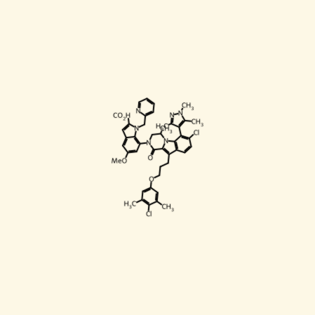 COc1cc(N2CC(C)n3c(c(CCCOc4cc(C)c(Cl)c(C)c4)c4ccc(Cl)c(-c5c(C)nn(C)c5C)c43)C2=O)c2c(c1)cc(C(=O)O)n2Cc1ccccn1